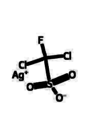 O=S(=O)([O-])C(F)(Cl)Cl.[Ag+]